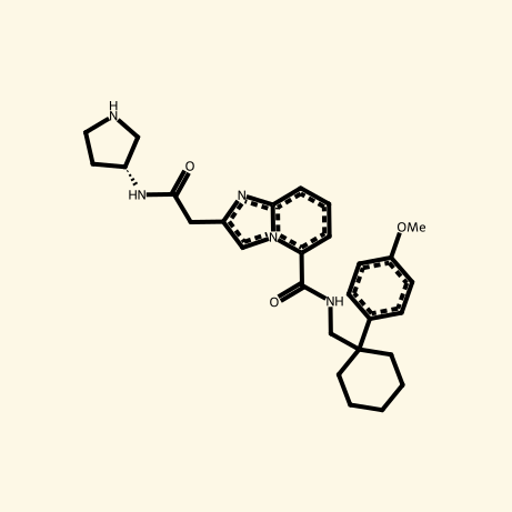 COc1ccc(C2(CNC(=O)c3cccc4nc(CC(=O)N[C@@H]5CCNC5)cn34)CCCCC2)cc1